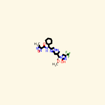 COC[C@H](c1cnn2cc([C@@H](NC(=O)c3nonc3C)C3CCCCCC3)nc2c1)N1C[C@@H](C(F)(F)F)N=C1O